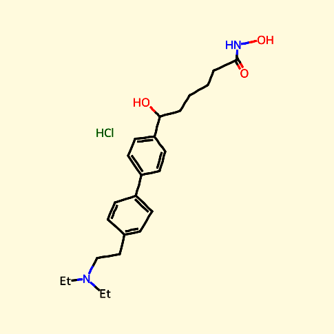 CCN(CC)CCc1ccc(-c2ccc(C(O)CCCCC(=O)NO)cc2)cc1.Cl